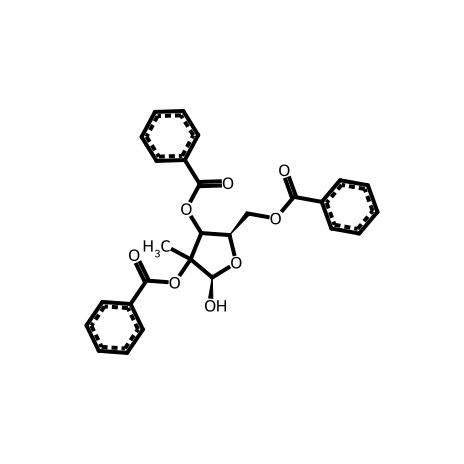 CC1(OC(=O)c2ccccc2)C(OC(=O)c2ccccc2)[C@@H](COC(=O)c2ccccc2)O[C@H]1O